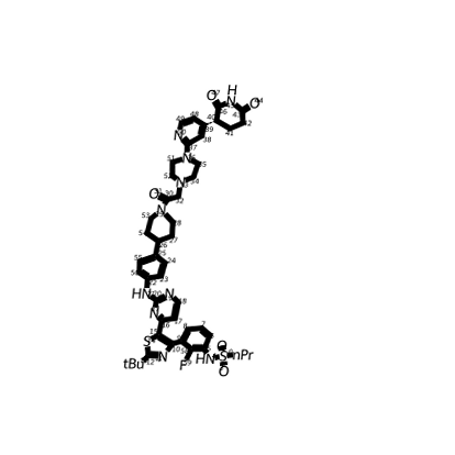 CCCS(=O)(=O)Nc1cccc(-c2nc(C(C)(C)C)sc2-c2ccnc(Nc3ccc(C4CCN(C(=O)CN5CCN(c6cc([C@H]7CCC(=O)NC7=O)ccn6)CC5)CC4)cc3)n2)c1F